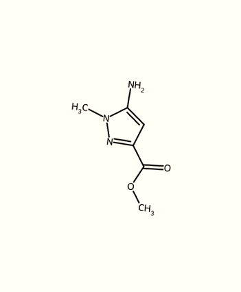 COC(=O)c1cc(N)n(C)n1